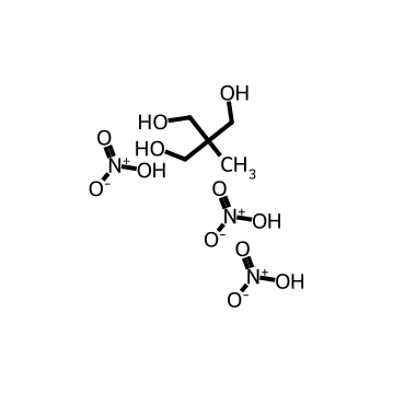 CC(CO)(CO)CO.O=[N+]([O-])O.O=[N+]([O-])O.O=[N+]([O-])O